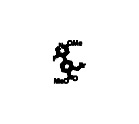 COC(=O)c1ccc(-c2cc(OC)ncc2F)cc1CBr